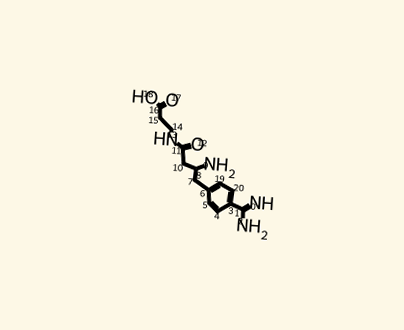 N=C(N)c1ccc(CC(N)CC(=O)NCCC(=O)O)cc1